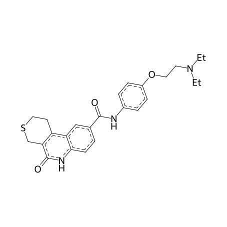 CCN(CC)CCOc1ccc(NC(=O)c2ccc3[nH]c(=O)c4c(c3c2)CCSC4)cc1